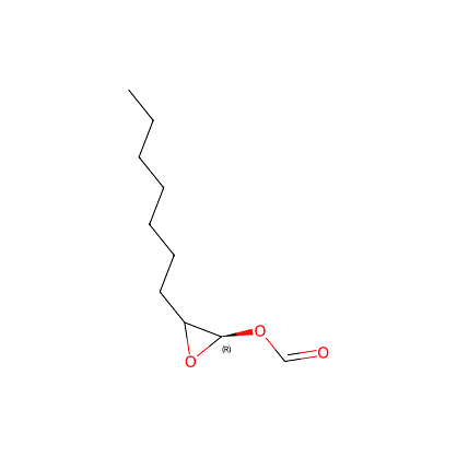 CCCCCCCC1O[C@@H]1OC=O